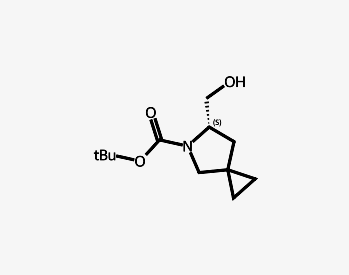 CC(C)(C)OC(=O)N1CC2(CC2)C[C@H]1CO